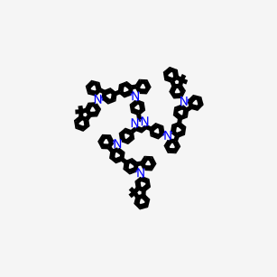 CC1(C)c2ccccc2-c2ccc(-n3c4ccccc4c4cc(-c5ccc6c7ccccc7n(-c7ccc(-c8cc(-c9ccc(-n%10c%11ccccc%11c%11ccc(-c%12ccc%13c(c%12)c%12ccccc%12n%13-c%12ccc%13c(c%12)C(C)(C)c%12ccccc%12-%13)cc%11%10)cc9)nc(-c9ccc(-n%10c%11ccccc%11c%11ccc(-c%12ccc%13c(c%12)c%12ccccc%12n%13-c%12ccc%13c(c%12)C(C)(C)c%12ccccc%12-%13)cc%11%10)cc9)n8)cc7)c6c5)ccc43)cc21